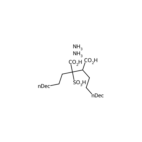 CCCCCCCCCCCCC(C(=O)O)C(CCCCCCCCCCCC)(C(=O)O)S(=O)(=O)O.N.N